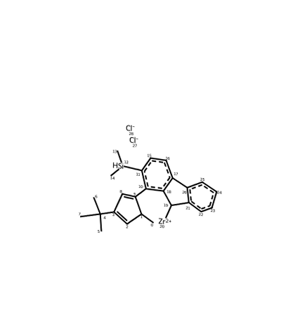 CC1C=C(C(C)(C)C)C=C1c1c([SiH](C)C)ccc2c1[CH]([Zr+2])c1ccccc1-2.[Cl-].[Cl-]